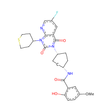 COc1ccc(O)c(C(=O)N[C@H]2CC[C@@H](n3c(=O)c4cc(F)cnc4n(C4CCSCC4)c3=O)CC2)c1